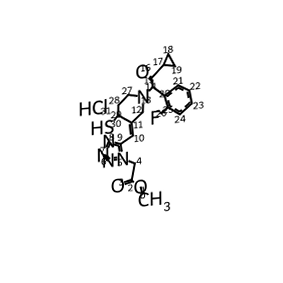 COC(=O)Cn1nnnc1/C=C1/CN(C(C(=O)C2CC2)c2ccccc2F)CCC1S.Cl